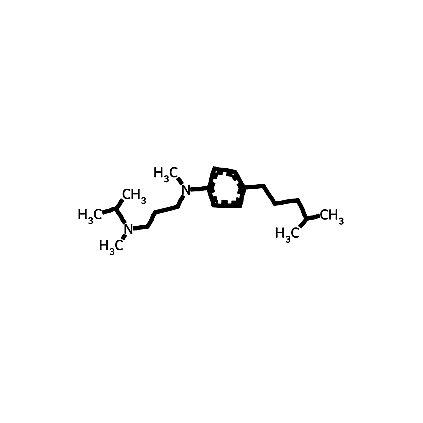 CC(C)CCCc1ccc(N(C)CCCN(C)C(C)C)cc1